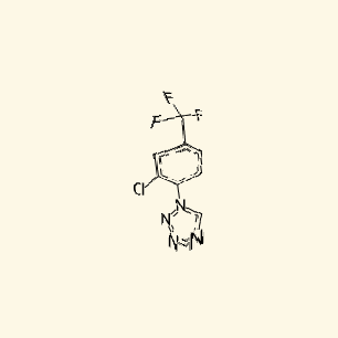 FC(F)(F)c1ccc(-n2cnnn2)c(Cl)c1